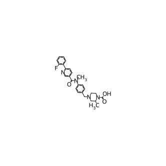 C[C@H]1CN(Cc2ccc(N(C)C(=O)c3ccc(-c4ccccc4F)nc3)cc2)CCN1C(=O)O